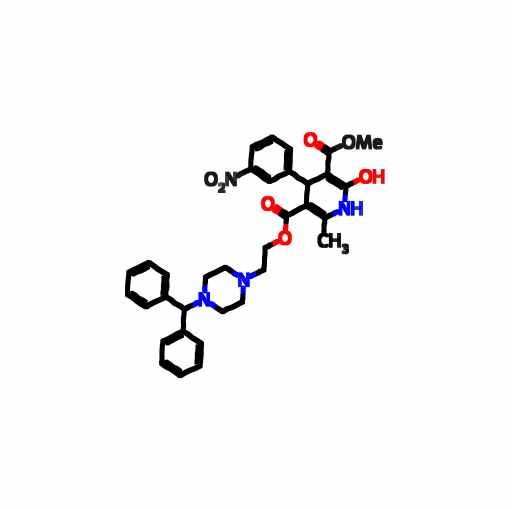 COC(=O)C1=C(O)NC(C)=C(C(=O)OCCN2CCN(C(c3ccccc3)c3ccccc3)CC2)C1c1cccc([N+](=O)[O-])c1